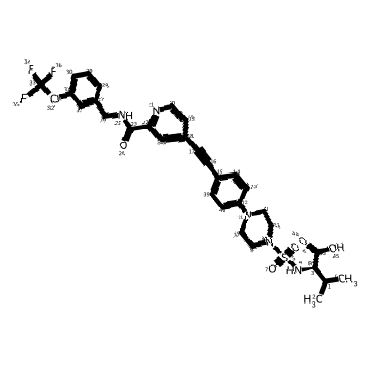 CC(C)[C@@H](NS(=O)(=O)N1CCN(c2ccc(C#Cc3ccnc(C(=O)NCc4cccc(OC(F)(F)F)c4)c3)cc2)CC1)C(=O)O